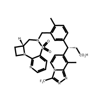 Cc1ccc([C@H](CC(=O)O)c2ccn3c(C(F)(F)F)nnc3c2C)cc1CN1C[C@H]2CCN2c2ncccc2S1(=O)=O